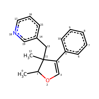 CC1OC=C(c2ccccc2)C1(C)Cc1cccnc1